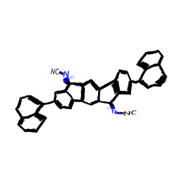 [C-]#[N+]/N=c1\c2cc(-c3cccc4ccccc34)ccc2c2cc3/c(=N/C#N)c4cc(-c5cccc6ccccc56)ccc4c3cc12